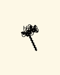 CCCCCCCCCCCCCc1ccc(NC(=O)CC)c2c1C(=O)N([C@H](CS(C)(=O)=O)c1ccc(OC)c(OCC)c1)C2=O